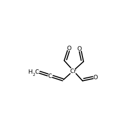 C=C=[CH][Cr]([CH]=O)([CH]=O)[CH]=O